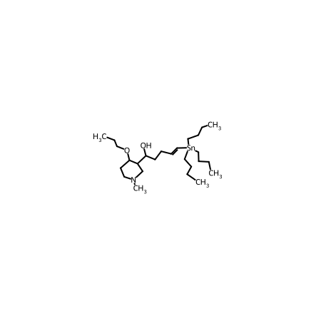 CCC[CH2][Sn]([CH]=CCCC(O)C1CN(C)CCC1OCCC)([CH2]CCC)[CH2]CCC